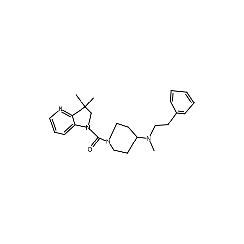 CN(CCc1ccccc1)C1CCN(C(=O)N2CC(C)(C)c3ncccc32)CC1